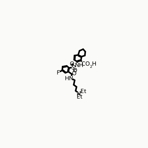 CCN(CC)CCCCNC(=O)c1cc(F)ccc1S(=O)(=O)Nc1ccc2c(c1C(=O)O)CCCC2